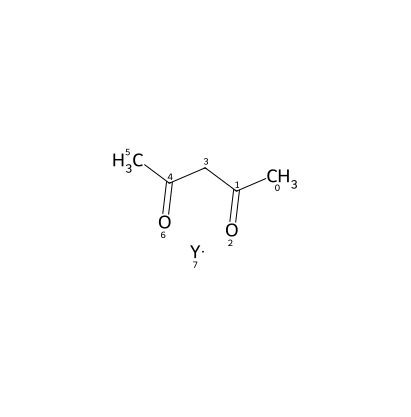 CC(=O)CC(C)=O.[Y]